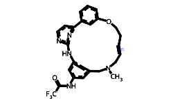 CN1C/C=C/CCOc2cccc(c2)-c2ccnc(n2)Nc2cc(cc(NC(=O)C(F)(F)F)c2)C1